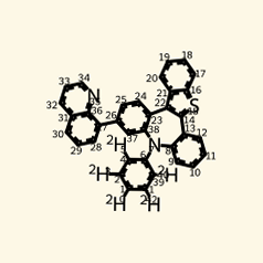 [2H]c1c([2H])c([2H])c(N2c3ccccc3-c3sc4ccccc4c3-c3ccc(-c4cccc5cccnc45)cc32)c([2H])c1[2H]